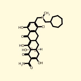 CN(Cc1cc(O)c2c(c1Cl)CC1C[C@H]3CC(O)=C(C(N)=O)C(=O)[C@@]3(O)C(O)=C1C2=O)CC1CCCCCC1